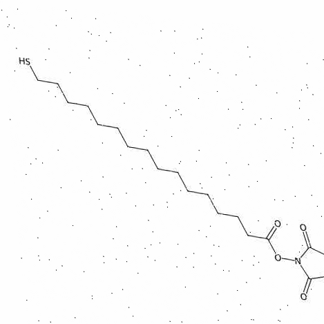 O=C(CCCCCCCCCCCCCCCS)ON1C(=O)CCC1=O